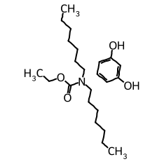 CCCCCCCN(CCCCCCC)C(=O)OCC.Oc1cccc(O)c1